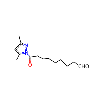 Cc1cc(C)n(C(=O)CCCCCCCC=O)n1